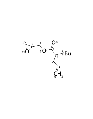 C=CCC(CCCC)C(=O)OCC1CO1